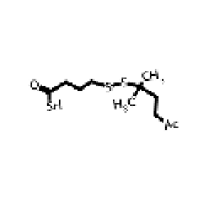 CC(=O)CCC(C)(C)SSCCCC(=O)S